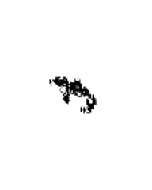 O=C(Nc1nccs1)[C@@H](c1ncn2c1C[C@@H](F)C2)n1cc2c(Cl)cc(-c3ccc(CN4CCC(CO)CC4)cc3)c(Cl)c2n1